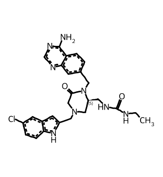 CCNC(=O)NC[C@H]1CN(Cc2cc3cc(Cl)ccc3[nH]2)CC(=O)N1Cc1ccc2c(N)ncnc2c1